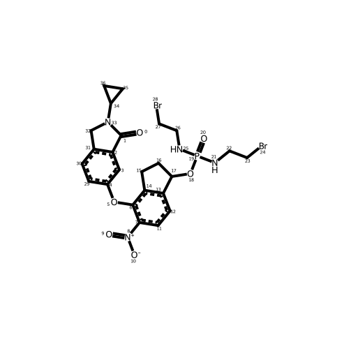 O=C1c2cc(Oc3c([N+](=O)[O-])ccc4c3CCC4OP(=O)(NCCBr)NCCBr)ccc2CN1C1CC1